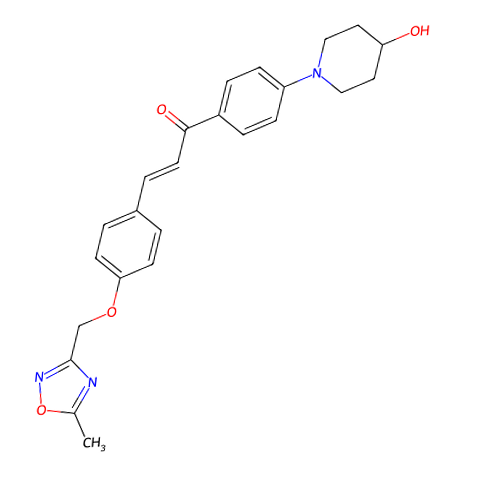 Cc1nc(COc2ccc(/C=C/C(=O)c3ccc(N4CCC(O)CC4)cc3)cc2)no1